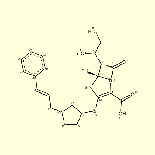 CC[C@H](O)[C@@H]1C(=O)N2C(C(=O)O)=C(SC3CCN(CC=Cc4ccccc4)C3)S[C@H]12